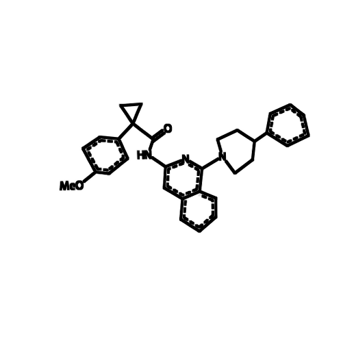 COc1ccc(C2(C(=O)Nc3cc4ccccc4c(N4CCC(c5ccccc5)CC4)n3)CC2)cc1